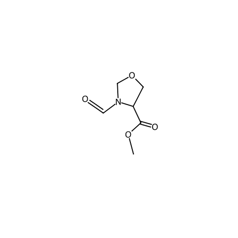 COC(=O)C1COCN1C=O